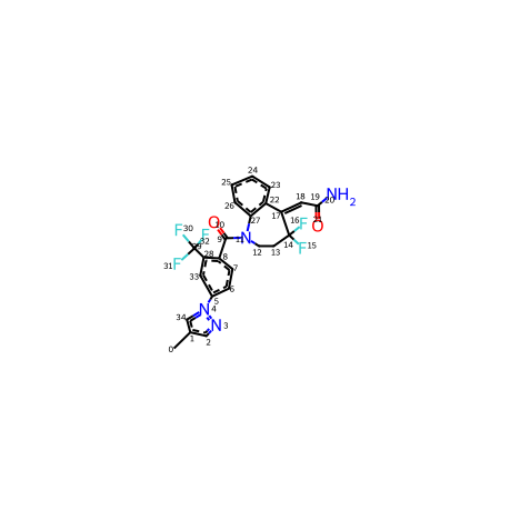 Cc1cnn(-c2ccc(C(=O)N3CCC(F)(F)C(=CC(N)=O)c4ccccc43)c(C(F)(F)F)c2)c1